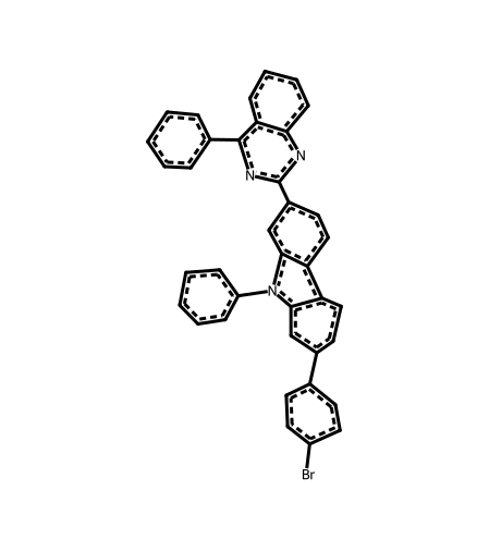 Brc1ccc(-c2ccc3c4ccc(-c5nc(-c6ccccc6)c6ccccc6n5)cc4n(-c4ccccc4)c3c2)cc1